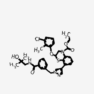 CCOC(=O)N1CC(Oc2cccc(Cl)c2C)Sc2c(-c3cnn(Cc4cccc(C(=O)NCC(C)(C)O)c4)c3)cccc21